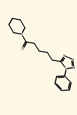 O=C(CCCCc1nnnn1-c1ccccc1)N1CCCCC1